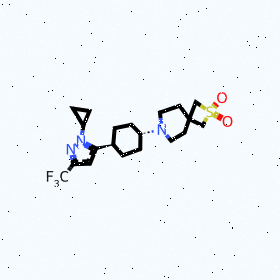 O=S1(=O)CC2(CCN([C@H]3CC[C@H](c4cc(C(F)(F)F)nn4C4CC4)CC3)CC2)C1